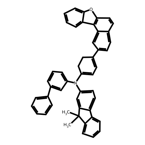 CC1(C)c2ccccc2-c2ccc(N(C3=CC=C(c4ccc5ccc6oc7ccccc7c6c5c4)CC3)c3cccc(-c4ccccc4)c3)cc21